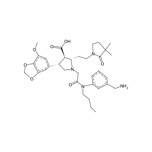 CCCCN(C(=O)CN1C[C@H](c2cc(OC)c3c(c2)OCO3)[C@@H](C(=O)O)[C@@H]1CCN1CCC(C)(C)C1=O)c1cccc(CN)c1